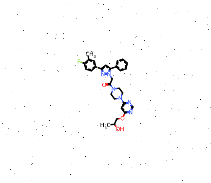 Cc1cc(-c2cc(-c3ccccc3)n(CC(=O)N3CCN(c4cc(OCC(C)O)ncn4)CC3)n2)ccc1F